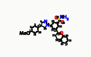 COc1ccc(C2C=NN(c3cc(C4CCc5ccccc5O4)cc(S(N)(=O)=O)c3)C2)cc1